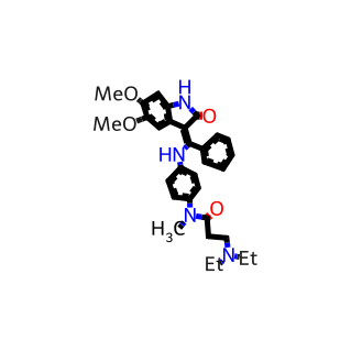 CCN(CC)CCC(=O)N(C)c1ccc(NC(=C2C(=O)Nc3cc(OC)c(OC)cc32)c2ccccc2)cc1